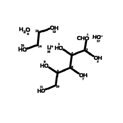 O.O=CC(O)C(O)C(O)C(O)CO.OCCO.[Li+].[OH-]